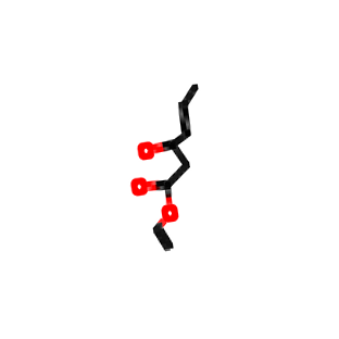 C=COC(=O)CC(=O)C=CC